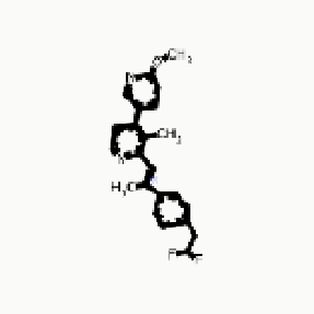 COc1ccc(-c2ccnc(/C=C(\C)c3ccc(CC(F)F)cc3)c2C)cn1